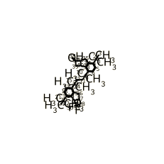 CC(C)(C)c1ccc(C(C)(C)CCC(C)(C)c2ccc(C(C)(C)C)c3c2CC2CC(F)(F)C32)c2c1CC1C(=O)CC21